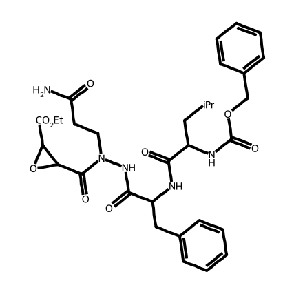 CCOC(=O)C1OC1C(=O)N(CCC(N)=O)NC(=O)C(Cc1ccccc1)NC(=O)C(CC(C)C)NC(=O)OCc1ccccc1